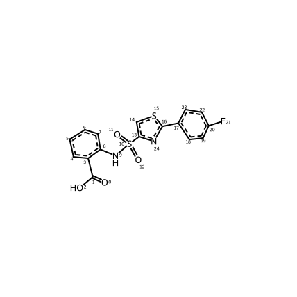 O=C(O)c1ccccc1NS(=O)(=O)c1csc(-c2ccc(F)cc2)n1